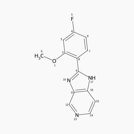 COc1cc(F)ccc1-c1nc2cnccc2[nH]1